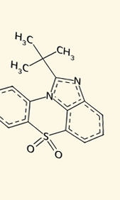 CC(C)(C)c1nc2cccc3c2n1-c1ccccc1S3(=O)=O